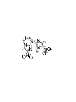 Cn1cc([N+](=O)[O-])nc1C(S)c1ncc([N+](=O)[O-])n1C